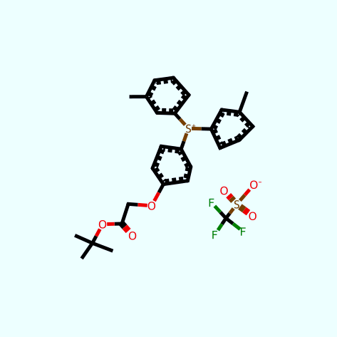 Cc1cccc([S+](c2ccc(OCC(=O)OC(C)(C)C)cc2)c2cccc(C)c2)c1.O=S(=O)([O-])C(F)(F)F